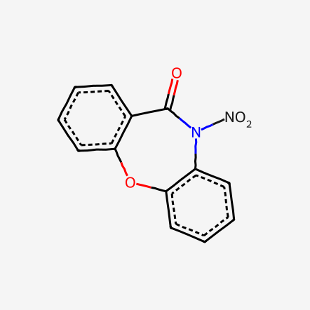 O=C1c2ccccc2Oc2ccccc2N1[N+](=O)[O-]